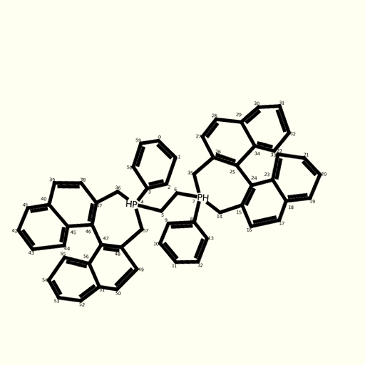 c1ccc([PH]2(CC[PH]3(c4ccccc4)Cc4ccc5ccccc5c4-c4c(ccc5ccccc45)C3)Cc3ccc4ccccc4c3-c3c(ccc4ccccc34)C2)cc1